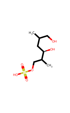 CC(CO)C[C@@H](O)C(C)COS(=O)(=O)O